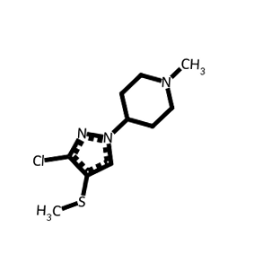 CSc1cn(C2CCN(C)CC2)nc1Cl